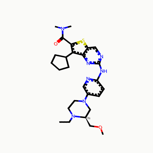 CCN1CCN(c2ccc(Nc3ncc4sc(C(=O)N(C)C)c(C5CCCC5)c4n3)nc2)C[C@H]1COC